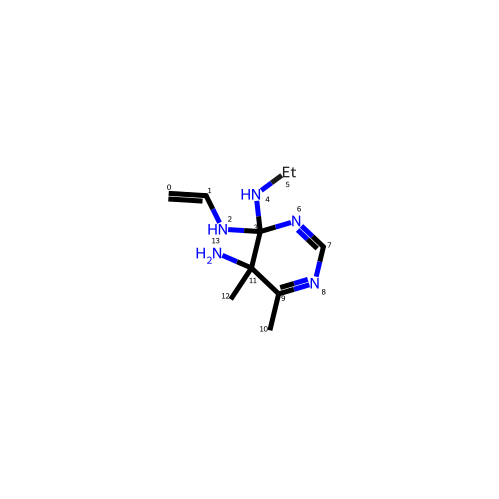 C=CNC1(NCC)N=CN=C(C)C1(C)N